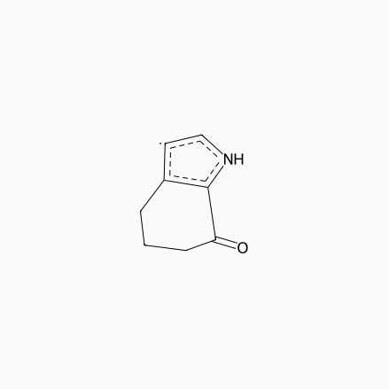 O=C1CCCc2[c]c[nH]c21